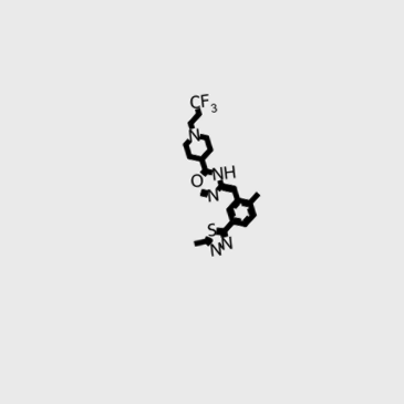 C=N/C(=C\c1cc(-c2nnc(C)s2)ccc1C)NC(=O)C1CCN(CCC(F)(F)F)CC1